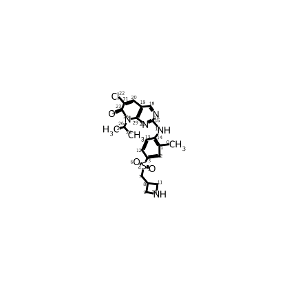 Cc1cc(S(=O)(=O)CC2CNC2)ccc1Nc1ncc2cc(Cl)c(=O)n(C(C)C)c2n1